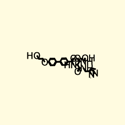 Cn1nccc1CNC(=O)C(NC(=O)c1ccc(-c2ccc(OCCO)cc2)cc1)C(=O)NO